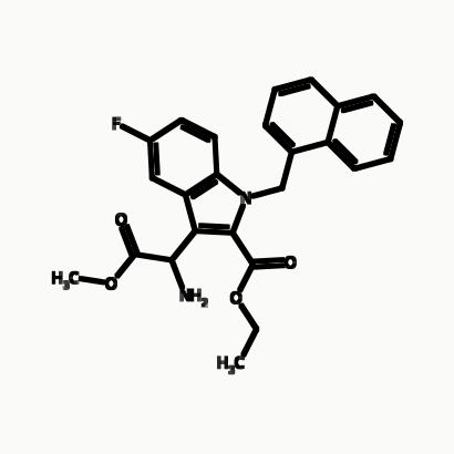 CCOC(=O)c1c(C(N)C(=O)OC)c2cc(F)ccc2n1Cc1cccc2ccccc12